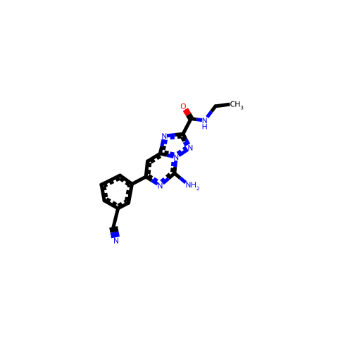 CCNC(=O)c1nc2cc(-c3cccc(C#N)c3)nc(N)n2n1